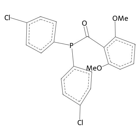 COc1cccc(OC)c1C(=O)P(c1ccc(Cl)cc1)c1ccc(Cl)cc1